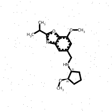 COc1cc(CN[C@H]2CCC[C@H]2OC)cc2nc(C(C)C)oc12